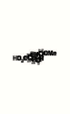 COc1ccc2c(c1)[C@@H]1CCC[C@@H]1[C@@H](c1c(C)cc(C(=O)O)cc1C)N2